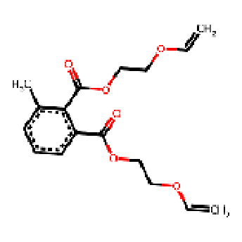 C=COCCOC(=O)c1cccc(C)c1C(=O)OCCOC=C